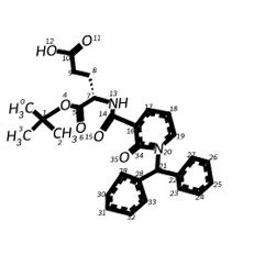 CC(C)(C)OC(=O)[C@H](CCC(=O)O)NC(=O)c1cccn(C(c2ccccc2)c2ccccc2)c1=O